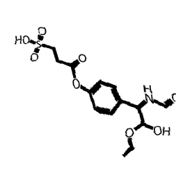 CCOC(O)C(NC=O)c1ccc(OC(=O)CCS(=O)(=O)O)cc1